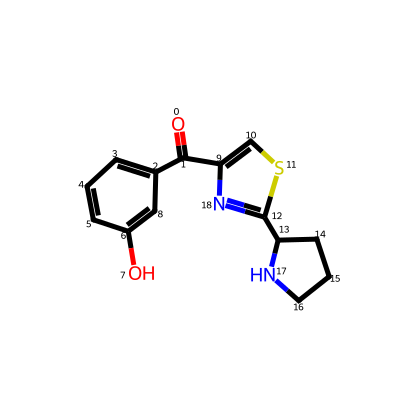 O=C(c1cccc(O)c1)c1csc(C2CCCN2)n1